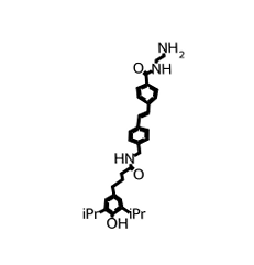 CC(C)c1cc(CCCC(=O)NCc2ccc(/C=C/c3ccc(C(=O)NCCN)cc3)cc2)cc(C(C)C)c1O